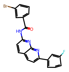 O=C(Nc1ccc2ccc(-c3cccc(F)c3)nc2n1)c1cccc(Br)c1